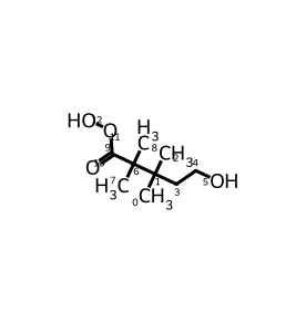 CC(C)(CCO)C(C)(C)C(=O)OO